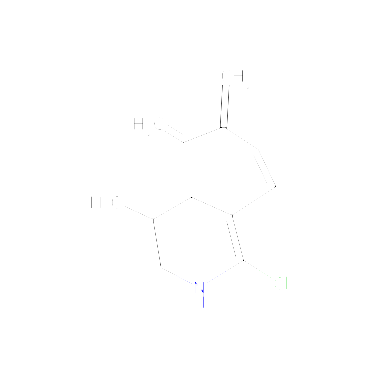 C=CC(=C)/C=C\C1=C(Cl)NCC(C)C1